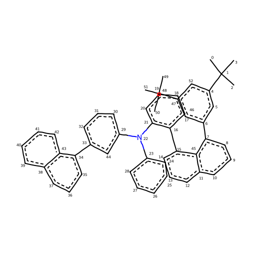 CC(C)(C)c1cc(-c2cccc3cccc(-c4ccccc4N(c4ccccc4)c4cccc(-c5cccc6ccccc56)c4)c23)cc(C(C)(C)C)c1